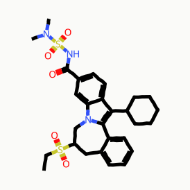 CCS(=O)(=O)C1Cc2ccccc2-c2c(C3CCCCC3)c3ccc(C(=O)NS(=O)(=O)N(C)C)cc3n2C1